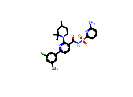 CC(C)COc1cc(F)cc(-c2ccc(C(=O)NS(=O)(=O)c3cccc(N)n3)c(N3CCC(C)CC3(C)C)n2)c1